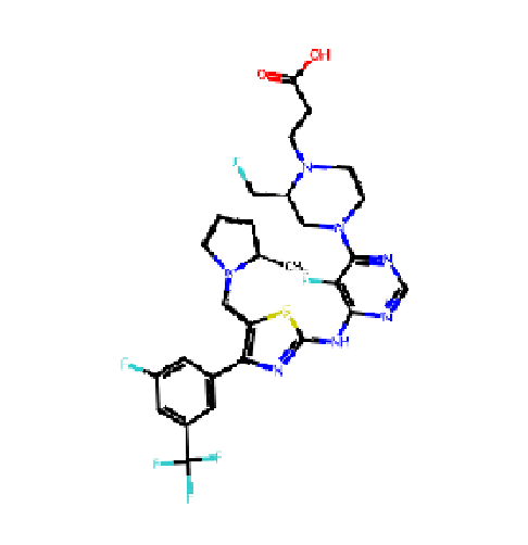 C[C@@H]1CCCN1Cc1sc(Nc2ncnc(N3CCN(CCC(=O)O)[C@H](CF)C3)c2F)nc1-c1cc(F)cc(C(F)(F)F)c1